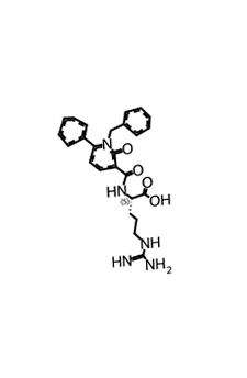 N=C(N)NCCC[C@H](NC(=O)c1ccc(-c2ccccc2)n(Cc2ccccc2)c1=O)C(=O)O